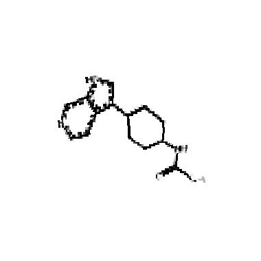 O=C(O)NC1CCC(c2c[nH]c3cnccc23)CC1